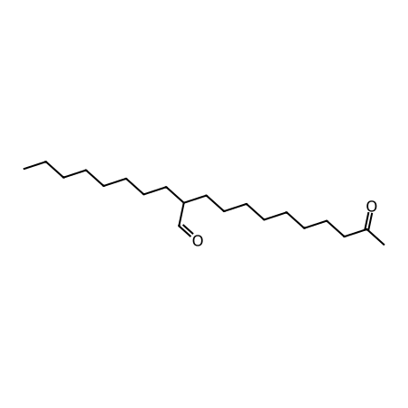 CCCCCCCCC(C=O)CCCCCCCCC(C)=O